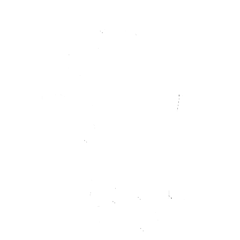 CC(=O)N1CC(Oc2cc(F)c3c(c2)CC(CNCCC2CN(c4cnc5c(n4)NC(=O)CO5)C(=O)O2)C3)C1.O=CO